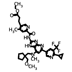 CCOC(=O)CCc1cnc(C(=O)Nc2nc3nc(-c4cnc(C5CC5)c(C(F)(F)F)c4)cc(N(C)CC4(COC)CCCC4)c3[nH]2)cc1C